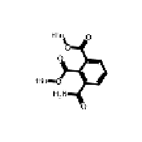 CC(C)(C)OC(=O)c1cccc(C(N)=O)c1C(=O)OC(C)(C)C